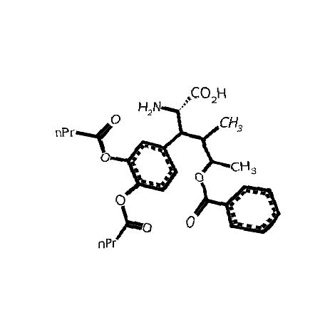 CCCC(=O)Oc1ccc(C(C(C)C(C)OC(=O)c2ccccc2)[C@H](N)C(=O)O)cc1OC(=O)CCC